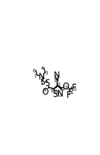 CCN(CC)SSC(=O)c1snc(OC(F)F)c1C#N